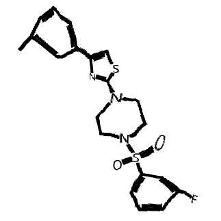 Cc1cccc(-c2csc(N3CCN(S(=O)(=O)c4cccc(F)c4)CC3)n2)c1